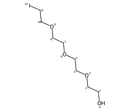 OCCOCCOCCOCCI